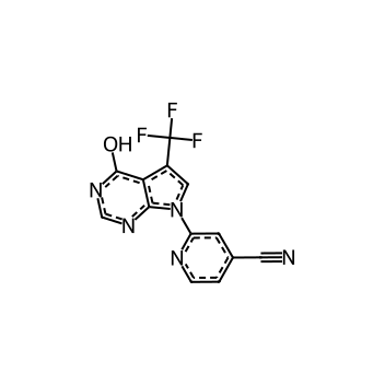 N#Cc1ccnc(-n2cc(C(F)(F)F)c3c(O)ncnc32)c1